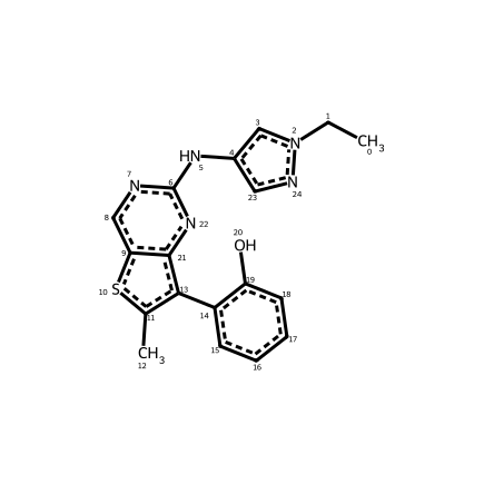 CCn1cc(Nc2ncc3sc(C)c(-c4ccccc4O)c3n2)cn1